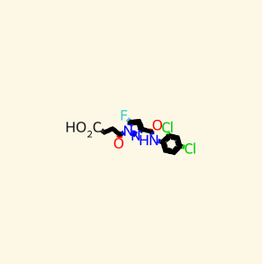 O=C(O)CCC(=O)n1nc(C(=O)Nc2ccc(Cl)cc2Cl)cc1F